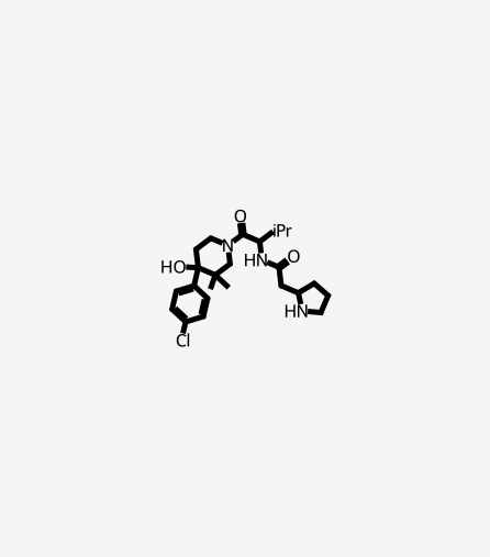 CC(C)C(NC(=O)CC1CCCN1)C(=O)N1CCC(O)(c2ccc(Cl)cc2)C(C)(C)C1